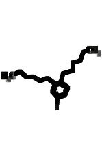 CCCCCCc1ccc(I)cc1CCCCCC